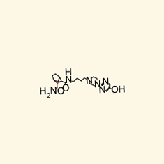 NC(=O)C1C2CCC(C2)C1C(=O)NCCCCN1CCN(c2ncc(O)cn2)CC1